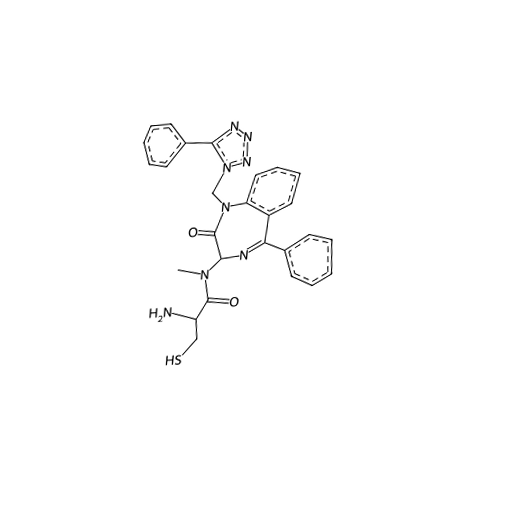 CN(C(=O)C(N)CS)C1N=C(c2ccccc2)c2ccccc2N(Cn2nnnc2-c2ccccc2)C1=O